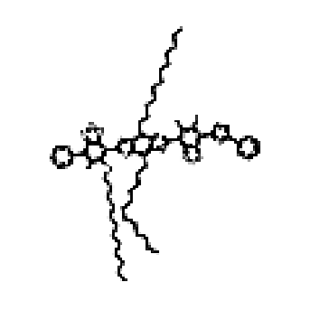 CCCCCCCCCCCCOc1c(F)c(-c2ccccc2)c2nsnc2c1-c1cc2c(CCCCCCCCCCCC)c3sc(-c4c(C)c(F)c(-c5ccc(-c6ccccc6)s5)c5nsnc45)cc3c(CCCCCCCCCCCC)c2s1